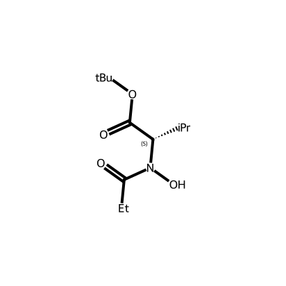 CCC(=O)N(O)[C@H](C(=O)OC(C)(C)C)C(C)C